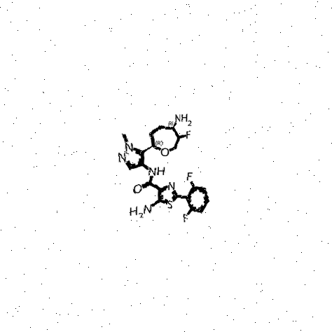 Cn1ncc(NC(=O)c2nc(-c3c(F)cccc3F)sc2N)c1[C@H]1CC[C@@H](N)C(F)CO1